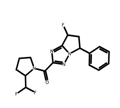 O=C(c1nc2n(n1)C(c1ccccc1)CC2F)N1CCCC1C(F)F